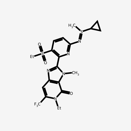 CCn1c(C(F)(F)F)cc2nc(-c3nc(/N=S(\C)C4CC4)ccc3S(=O)(=O)CC)n(C)c2c1=O